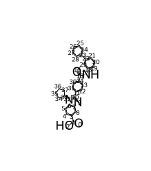 O=C(O)c1ccc2c(c1)nc(-c1ccc(C(=O)Nc3cccc(-c4ccccc4)c3)cc1)n2C1CCCC1